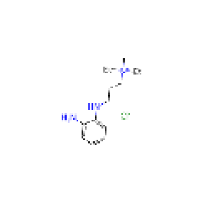 CC[N+](C)(CC)CCCNc1ccccc1N.[Cl-]